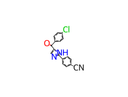 N#Cc1ccc(-c2ncc(C(=O)c3ccc(Cl)cc3)[nH]2)cc1